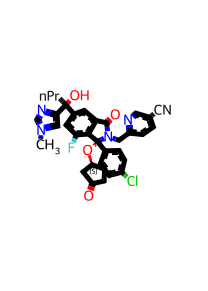 CCCC(O)(c1cc(F)c2c(c1)C(=O)N(Cc1ccc(C#N)cn1)[C@@]2(O[C@H]1CCC(=O)C1)c1ccc(Cl)cc1)c1cn(C)cn1